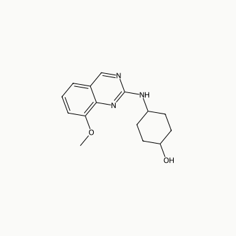 COc1cccc2cnc(NC3CCC(O)CC3)nc12